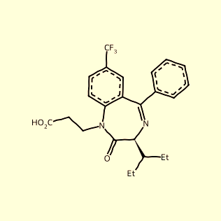 CCC(CC)[C@@H]1N=C(c2ccccc2)c2cc(C(F)(F)F)ccc2N(CCC(=O)O)C1=O